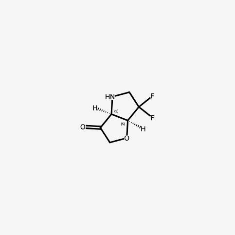 O=C1CO[C@H]2[C@@H]1NCC2(F)F